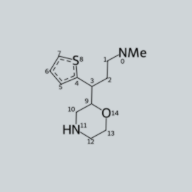 CNCCC(c1cccs1)C1CNCCO1